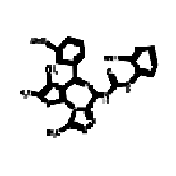 COc1cccc(C2=NC(NC(=O)Nc3ccccc3OC)c3nnc(C)n3-c3sc(C)c(C)c32)c1